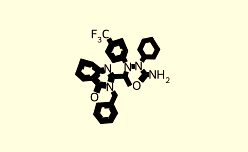 CC(c1nc2ccccc2c(=O)n1Cc1ccccc1)N(c1ccc(C(F)(F)F)cc1)N(C(N)=O)C1CCCCC1